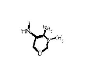 CN1COCC(NI)=C1N